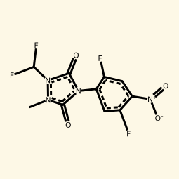 Cn1c(=O)n(-c2cc(F)c([N+](=O)[O-])cc2F)c(=O)n1C(F)F